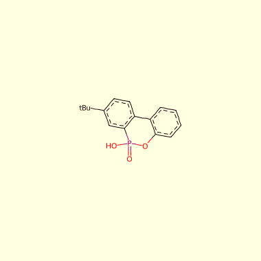 CC(C)(C)c1ccc2c(c1)P(=O)(O)Oc1ccccc1-2